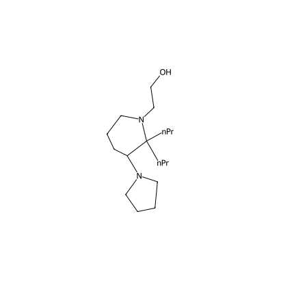 CCCC1(CCC)C(N2CCCC2)CCCN1CCO